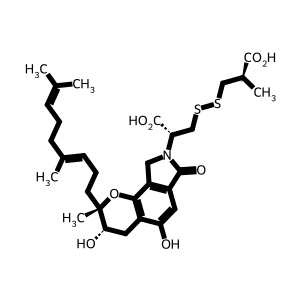 CC(C)=CCC/C(C)=C/CC[C@]1(C)Oc2c(c(O)cc3c2CN([C@@H](CSSC[C@H](C)C(=O)O)C(=O)O)C3=O)C[C@@H]1O